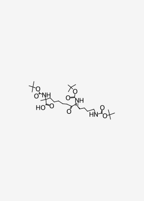 CC(C)(C)OC(=O)NCCCC[C@H](NC(=O)OC(C)(C)C)C(=O)CCCCCC(C)(NC(=O)OC(C)(C)C)C(=O)O